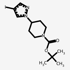 CC(C)(C)OC(=O)N1CCC(n2cc(I)cn2)CC1